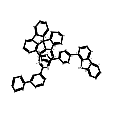 c1ccc(-c2cccc(-c3nc(-c4ccc(-c5cccc6c5sc5ccccc56)cc4)nc(-c4cccc5c4C4(c6ccccc6-c6ccccc64)c4ccccc4-5)n3)c2)cc1